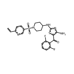 C=Cc1ccc(S(=O)(=O)N2CCC(Nc3nc(N)c(C(=O)c4c(F)cccc4F)s3)CC2)cn1